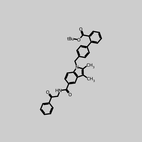 Cc1c(C)n(Cc2ccc(-c3ccccc3C(=O)OC(C)(C)C)cc2)c2ccc(C(=O)NCC(=O)c3ccccc3)cc12